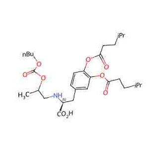 CCCCOC(=O)OC(C)CN[C@@H](Cc1ccc(OC(=O)CCC(C)C)c(OC(=O)CCC(C)C)c1)C(=O)O